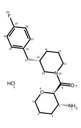 Cl.N[C@@H]1CCCO[C@H]1C(=O)N1CCC[C@@H](Cc2ccc(F)cc2)C1